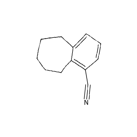 N#Cc1cccc2c1CCCCC2